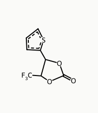 O=C1OC(c2cccs2)C(C(F)(F)F)O1